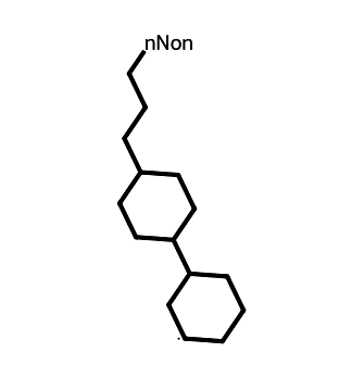 [CH2]CCCCCCCCCCCC1CCC(C2C[CH]CCC2)CC1